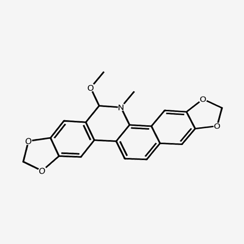 COC1c2cc3c(cc2-c2ccc4cc5c(cc4c2N1C)OCO5)OCO3